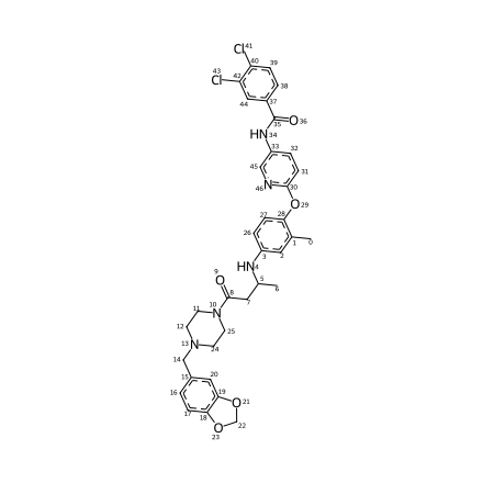 Cc1cc(NC(C)CC(=O)N2CCN(Cc3ccc4c(c3)OCO4)CC2)ccc1Oc1ccc(NC(=O)c2ccc(Cl)c(Cl)c2)cn1